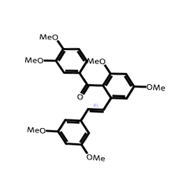 COc1cc(/C=C/c2cc(OC)cc(OC)c2C(=O)c2ccc(OC)c(OC)c2)cc(OC)c1